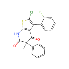 CC1(c2ccccc2)C(=O)Nc2sc(Cl)c(-c3ccccc3F)c2C1=O